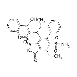 CCc1c2c(c(C(CC)c3c(O)c4ccccc4oc3=O)c(-c3ccccc3)c1S(N)(=O)=O)C(=O)[N]C2=O